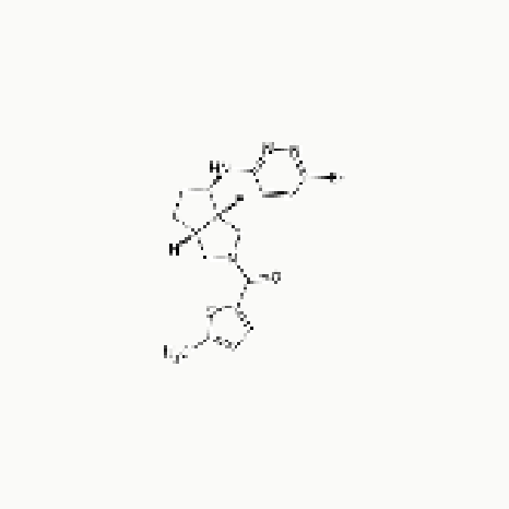 Cc1ccc(C(=O)N2C[C@@H]3CC[C@@H](Nc4ccc(Br)nn4)[C@]3(F)C2)s1